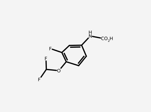 O=C(O)Nc1ccc(OC(F)F)c(F)c1